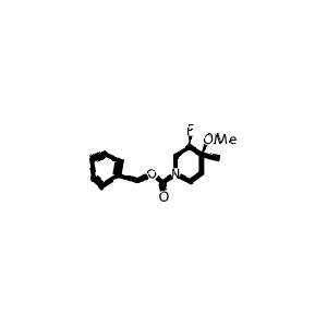 CO[C@@]1(C)CCN(C(=O)OCc2ccccc2)C[C@H]1F